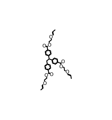 CC=COCCOC(=O)c1ccc(CC(c2ccc(C(=O)OCCOC=CC)cc2)c2ccc(C(=O)OCCOC=CC)cc2)cc1